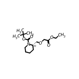 CCOC(=O)COC[C@@H]1CCCCN1C(=O)OC(C)(C)C